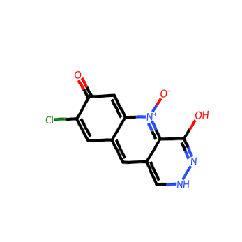 O=c1cc2c(cc1Cl)cc1c[nH]nc(O)c1[n+]2[O-]